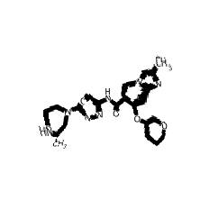 Cc1cn2cc(C(=O)Nc3ccc(N4CCN[C@@H](C)C4)nn3)c(OC3CCCOC3)cc2n1